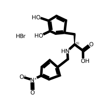 Br.O=C(O)[C@H](Cc1ccc(O)c(O)c1)NCc1ccc([N+](=O)[O-])cc1